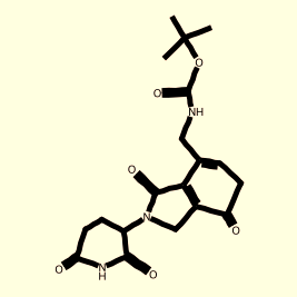 CC(C)(C)OC(=O)NCC1=CCC(=O)C2=C1C(=O)N(C1CCC(=O)NC1=O)C2